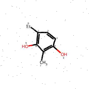 CCc1ccc(O)c(C)c1O